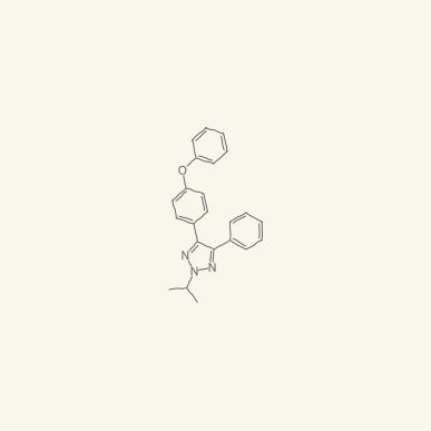 CC(C)n1nc(-c2ccccc2)c(-c2ccc(Oc3ccccc3)cc2)n1